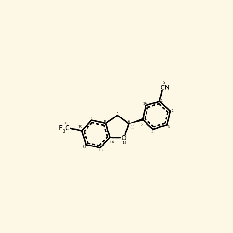 N#Cc1cccc([C@@H]2Cc3cc(C(F)(F)F)ccc3O2)c1